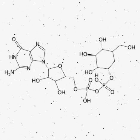 Nc1nc2c(ncn2[C@@H]2O[C@H](COP(=O)(O)OP(=O)(O)O[C@H]3CC(CO)[C@@H](O)[C@H](O)C3O)C(O)C2O)c(=O)[nH]1